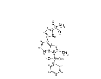 Cc1cc2c(-c3ccc(S(N)(=O)=O)s3)ccnc2n1S(=O)(=O)c1ccccc1